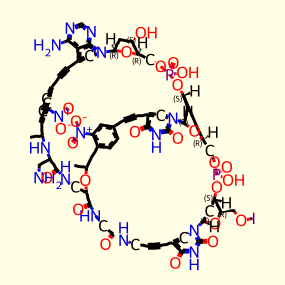 CC1NC(CN)C(=O)NCC2OC(C)c3ccc(cc3[N+](=O)[O-])C#Cc3cn(c(=O)[nH]c3=O)[C@H]3C[C@H](OP(=O)(O)OC[C@H]4O[C@H](C[C@@H]4O)n4cc(c5c(N)ncnc54)C#Cc4ccc1c([N+](=O)[O-])c4)[C@@H](COP(=O)(O)O[C@H]1C[C@@H](O[C@@H]1COI)n1cc(c(=O)[nH]c1=O)C#CCNC(=O)CNC2=O)O3